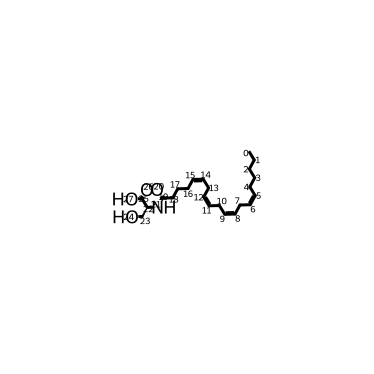 CCCCC/C=C\C/C=C\C/C=C\C/C=C\CCCC(=O)N[C@@H](CO)C(=O)O